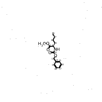 COC(=O)[C@@H](CCCI)NC(=O)OCc1ccccc1